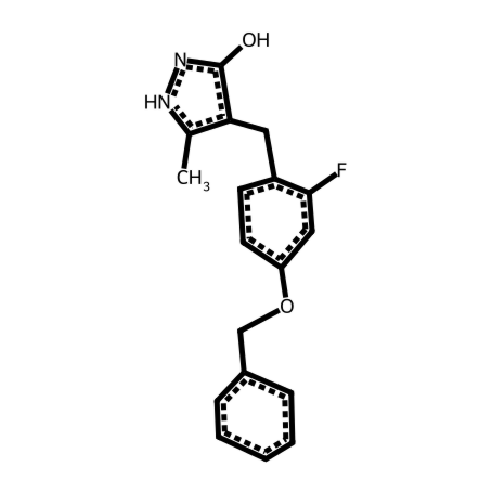 Cc1[nH]nc(O)c1Cc1ccc(OCc2ccccc2)cc1F